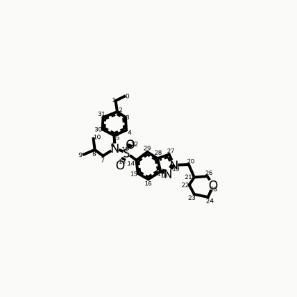 CCc1ccc(N(CC(C)C)S(=O)(=O)c2ccc3nn(CC4CCCOC4)cc3c2)cc1